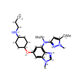 CNN(c1cc(OC)n(C)n1)c1cc(OC2CCC(NCCC(F)(F)F)CC2)cc2c1ncn2C